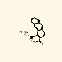 Cl.Cl.O=C(O)c1ccc2cc3ccccc3cc2c1C(=O)O